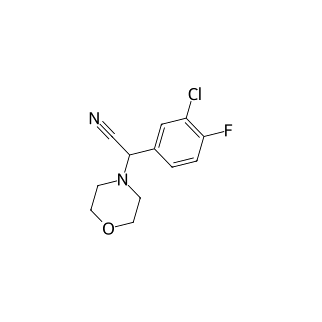 N#CC(c1ccc(F)c(Cl)c1)N1CCOCC1